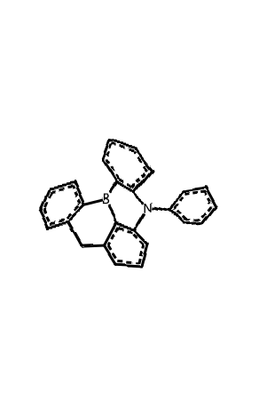 c1ccc(N2c3ccccc3B3c4ccccc4Cc4cccc2c43)cc1